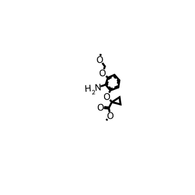 COCOc1cccc(OC2(C(=O)OC)CC2)c1N